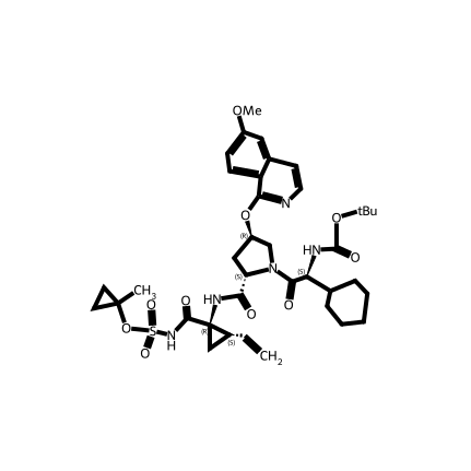 C=C[C@@H]1C[C@]1(NC(=O)[C@@H]1C[C@@H](Oc2nccc3cc(OC)ccc23)CN1C(=O)[C@@H](NC(=O)OC(C)(C)C)C1CCCCC1)C(=O)NS(=O)(=O)OC1(C)CC1